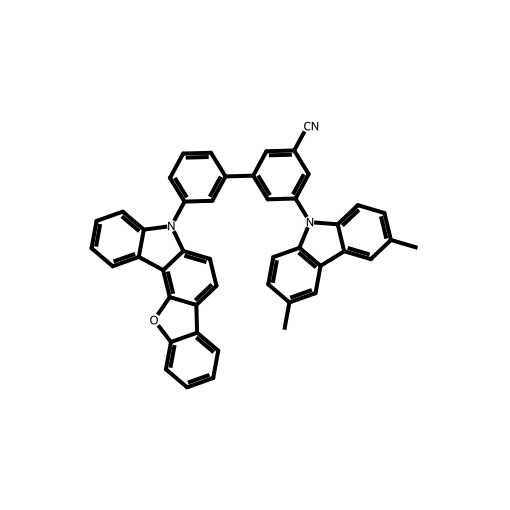 Cc1ccc2c(c1)c1cc(C)ccc1n2-c1cc(C#N)cc(-c2cccc(-n3c4ccccc4c4c5oc6ccccc6c5ccc43)c2)c1